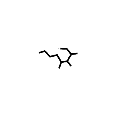 [CH2]CC(C)C(C)C(C)CCCC